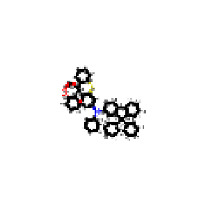 c1ccc(N(c2ccc3c(c2)Sc2ccccc2C32c3ccccc3Oc3ccccc32)c2ccc3c(c2)C(c2ccccc2)(c2ccccc2)c2ccccc2-3)cc1